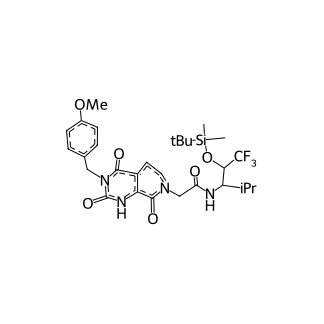 COc1ccc(Cn2c(=O)[nH]c3c(=O)n(CC(=O)NC(C(C)C)C(O[Si](C)(C)C(C)(C)C)C(F)(F)F)ccc3c2=O)cc1